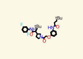 CC(C)(C)CCC(=O)Nc1cccc(OCC(=O)N2CCC(C(CC(C)(C)C)C(=O)Nc3cc(F)ccc3F)C2)c1